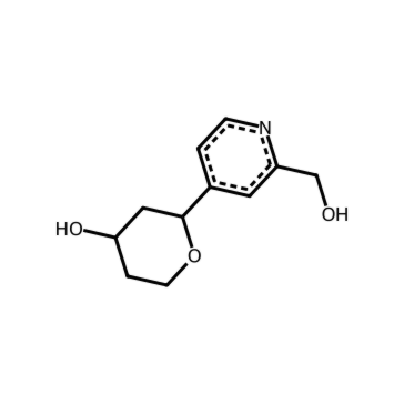 OCc1cc(C2CC(O)CCO2)ccn1